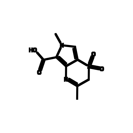 CC1=Nc2c(cn(C)c2C(=O)O)S(=O)(=O)C1